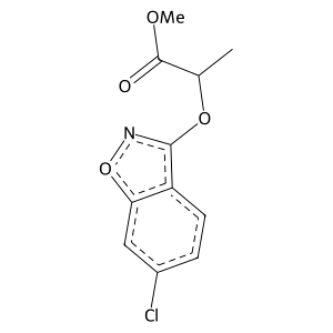 COC(=O)C(C)Oc1noc2cc(Cl)ccc12